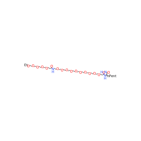 CCCCC[C@H](NC(=O)CCOCCOCCOCCOCCOCCOCCOCCOCCOCCOCCNC(=O)CCOCCOCCOCCOCCOCC)C(N)=O